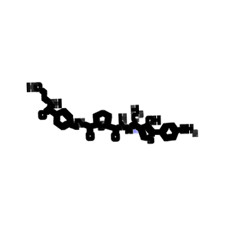 Bc1ccc(-c2scc(/C(C)=N/NC(=O)C3=CCC=C(C(=O)NCc4ccc(C(=O)NCCO)cc4)S3)c2O)cc1